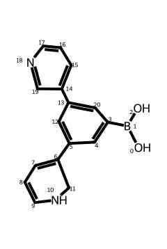 OB(O)c1cc(C2=CC=CNC2)cc(-c2cccnc2)c1